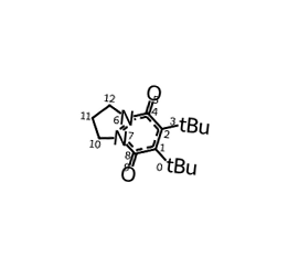 CC(C)(C)c1c(C(C)(C)C)c(=O)n2n(c1=O)CCC2